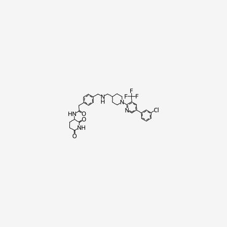 O=C1CCC(NC(=O)Cc2ccc(CNCC3CCN(c4ncc(-c5cccc(Cl)c5)cc4C(F)(F)F)CC3)cc2)C(=O)N1